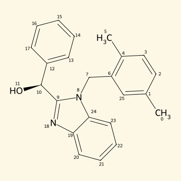 Cc1ccc(C)c(Cn2c([C@@H](O)c3ccccc3)nc3ccccc32)c1